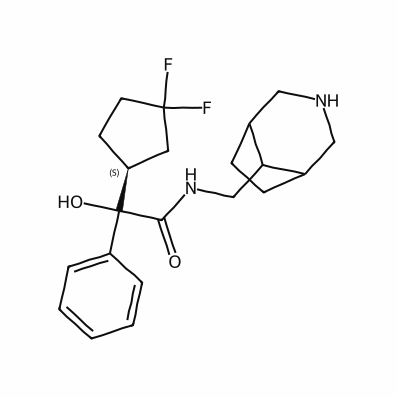 O=C(NCC1C2CCC1CNC2)C(O)(c1ccccc1)[C@H]1CCC(F)(F)C1